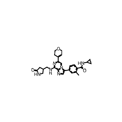 Cc1cc(-c2cnc3c(NCC4CNC(=O)C4)nc(C4=CCOCC4)cn23)ccc1C(=O)NC1CC1